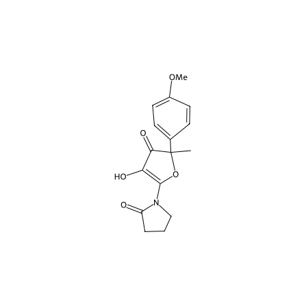 COc1ccc(C2(C)OC(N3CCCC3=O)=C(O)C2=O)cc1